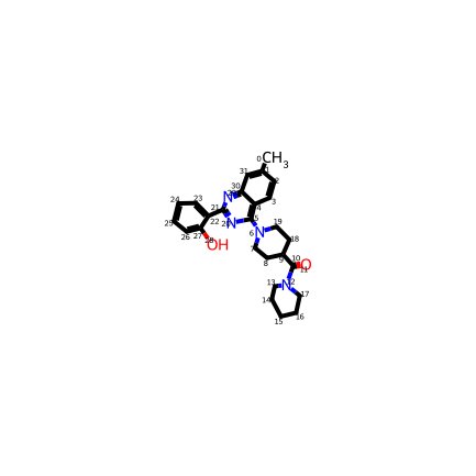 Cc1ccc2c(N3CCC(C(=O)N4CCCCC4)CC3)nc(-c3ccccc3O)nc2c1